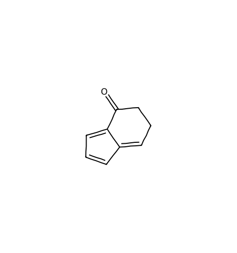 O=C1CCC=C2C=CC=C12